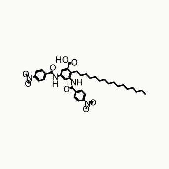 CCCCCCCCCCCCCCCCc1c(NC(=O)c2ccc([N+](=O)[O-])cc2)cc(NC(=O)c2ccc([N+](=O)[O-])cc2)cc1C(=O)O